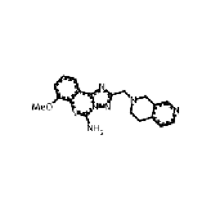 COc1cccc2c1nc(N)n1nc(CN3CCc4ccncc4C3)nc21